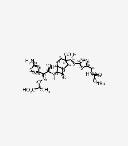 CC(ON=C(C(=O)NC1C(=O)N2CC(CSc3nnc(CNC(=O)OC(C)(C)C)s3)(C(=O)O)CS[C@H]12)c1nsc(N)n1)C(=O)O